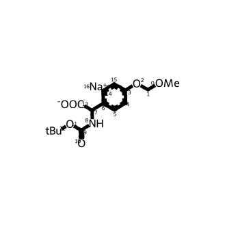 COCOc1ccc(C(NC(=O)OC(C)(C)C)C(=O)[O-])cc1.[Na+]